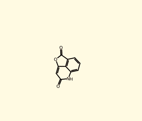 O=C1Oc2cc(=O)[nH]c3cccc1c23